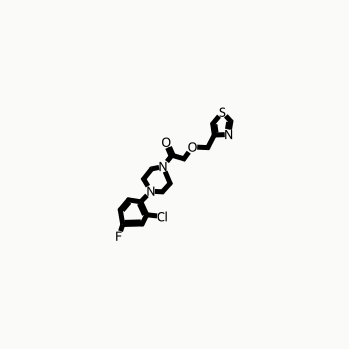 O=C(COCc1cscn1)N1CCN(c2ccc(F)cc2Cl)CC1